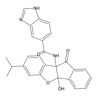 CC(C)c1ccc2c(c1)OC1(O)c3ccccc3C(=O)C21NC(=O)c1ccc2[nH]cnc2c1